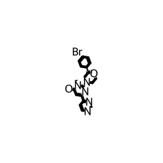 Cn1c(N2CCO[C@H](C3C=CC(Br)=CC3)C2)nc(-c2ccncn2)cc1=O